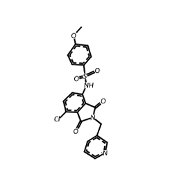 COc1ccc(S(=O)(=O)Nc2ccc(Cl)c3c2C(=O)N(Cc2cccnc2)C3=O)cc1